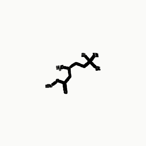 CCC(CC)(CC)CCN(C)CC(=O)OC(C)(C)C